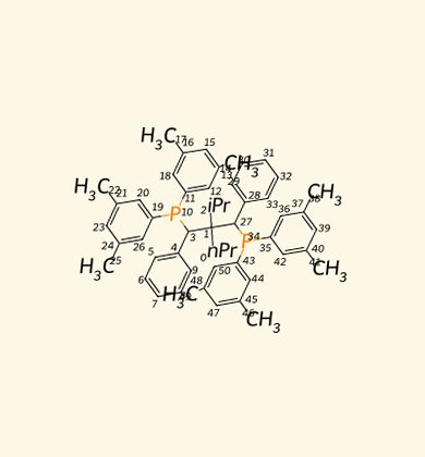 CCCC(C(C)C)(C(c1ccccc1)P(c1cc(C)cc(C)c1)c1cc(C)cc(C)c1)C(c1ccccc1)P(c1cc(C)cc(C)c1)c1cc(C)cc(C)c1